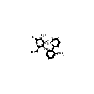 O=[N+]([O-])c1ccccc1C1C=CC=CO1.OC[C@H]1OC(O)[C@H](O)[C@@H](O)[C@H]1O